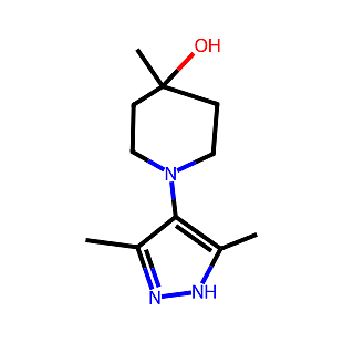 Cc1n[nH]c(C)c1N1CCC(C)(O)CC1